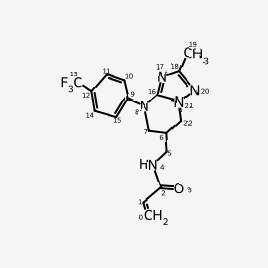 C=CC(=O)NCC1CN(c2ccc(C(F)(F)F)cc2)c2nc(C)nn2C1